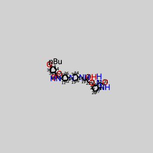 CCCCOc1ccc(S(=O)(=O)Nc2ccc(N3CCC(NCC(O)COc4cccc5[nH]c(=O)[nH]c45)CC3)cc2)cc1